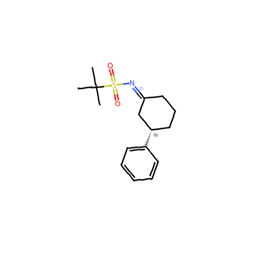 CC(C)(C)S(=O)(=O)/N=C1/CCC[C@H](c2ccccc2)C1